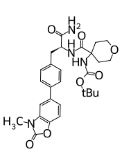 Cn1c(=O)oc2ccc(-c3ccc(C[C@H](NC(=O)C4(NC(=O)OC(C)(C)C)CCOCC4)C(N)=O)cc3)cc21